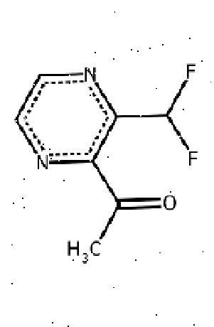 CC(=O)c1nccnc1C(F)F